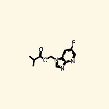 CC(C)C(=O)OCn1cnc2ncc(F)cc21